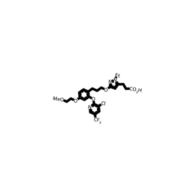 CCn1nc(OCCCc2ccc(OCCOC)cc2Oc2ncc(C(F)(F)F)cc2Cl)cc1CCC(=O)O